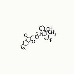 C[Si]1(C)c2ccccc2N(c2ccc(/C=C3/C(=O)c4cc5ccsc5cc4C3=O)s2)c2ccc(F)cc21